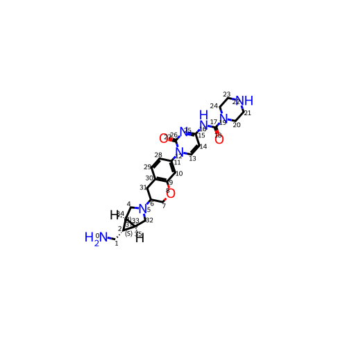 NC[C@@H]1[C@H]2CN(C3COc4cc(-n5ccc(NC(=O)N6CCNCC6)nc5=O)ccc4C3)C[C@@H]12